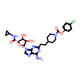 Nc1nc(CCC2CCN(C(=O)Oc3ccc(Cl)cc3)CC2)nc2c1ncn2[C@@H]1O[C@H](C(=O)NC2CC2)C(O)C1O